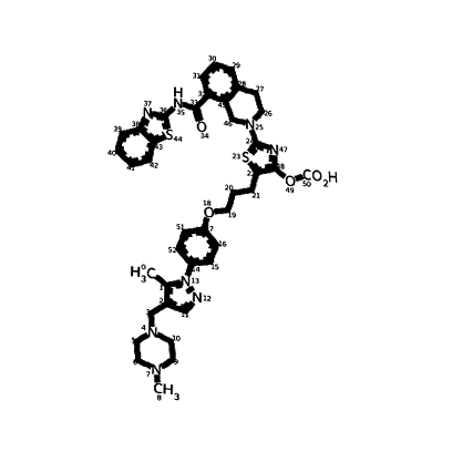 Cc1c(CN2CCN(C)CC2)cnn1-c1ccc(OCCCc2sc(N3CCc4cccc(C(=O)Nc5nc6ccccc6s5)c4C3)nc2OC(=O)O)cc1